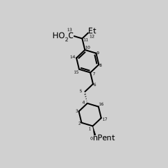 CCCCC[C@H]1CC[C@H](CCc2ccc(C(CC)C(=O)O)cc2)CC1